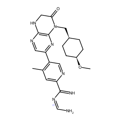 CO[C@H]1CC[C@@H](CN2C(=O)CNc3ncc(-c4cnc(C(=N)/N=C\N)cc4C)nc32)CC1